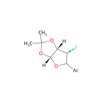 CC(=O)C1O[C@@H]2OC(C)(C)O[C@@H]2[C@H]1F